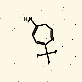 NC1=CC=C(C(F)(F)F)N=CC1